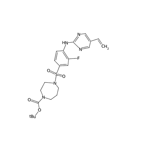 C=Cc1cnc(Nc2ccc(S(=O)(=O)N3CCCN(C(=O)OC(C)(C)C)CC3)cc2F)nc1